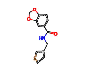 O=C(NCc1ccsc1)c1ccc2c(c1)OCO2